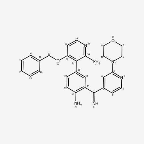 N=C(c1ccnc(N2CCOCC2)c1)c1cc(-c2c(OCc3ccccc3)ccnc2P)ccc1N